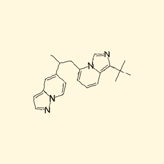 CC(Cc1cccc2c(C(C)(C)C)ncn12)c1ccn2nccc2c1